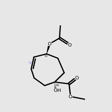 COC(=O)[C@@]1(O)CC/C=C\[C@@H](OC(C)=O)CC1